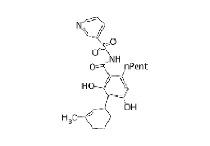 CCCCCc1cc(O)c(C2C=C(C)CCC2)c(O)c1C(=O)NS(=O)(=O)c1cccnc1